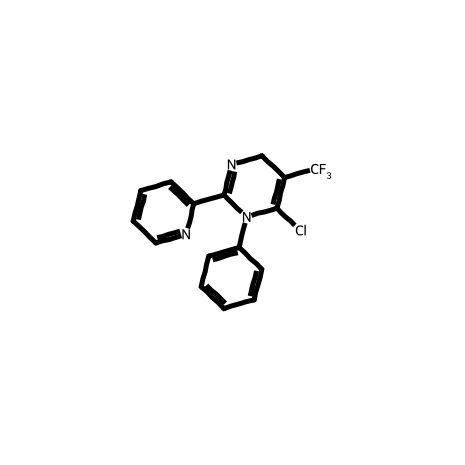 FC(F)(F)C1=C(Cl)N(c2ccccc2)C(c2ccccn2)=NC1